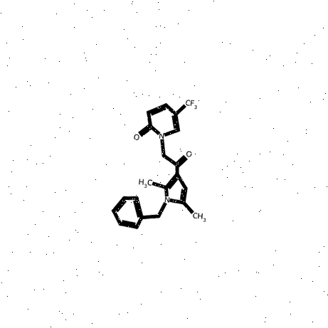 Cc1cc(C(=O)Cn2cc(C(F)(F)F)ccc2=O)c(C)n1Cc1ccccc1